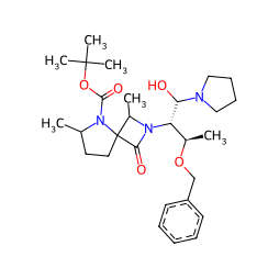 CC1CCC2(C(=O)N([C@H](C(O)N3CCCC3)[C@@H](C)OCc3ccccc3)C2C)N1C(=O)OC(C)(C)C